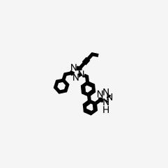 CCC#Cc1nc(CC2CCCCC2)nn1Cc1ccc(-c2ccccc2-c2nnn[nH]2)cc1